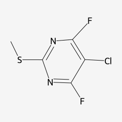 CSc1nc(F)c(Cl)c(F)n1